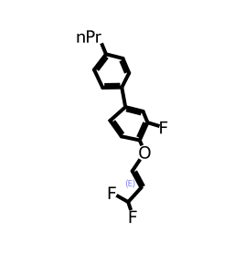 CCCc1ccc(-c2ccc(O/C=C/C(F)F)c(F)c2)cc1